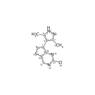 Cc1n[nH]c(C)c1-c1csc2cnc(Cl)nc12